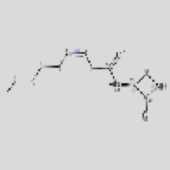 CCCCC/C=C\CC(=O)N[C@H]1CNC1=O